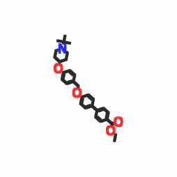 CCOC(=O)c1ccc(-c2ccc(OCc3ccc(OC4CCN(C(C)(C)C)CC4)cc3)cc2)cc1